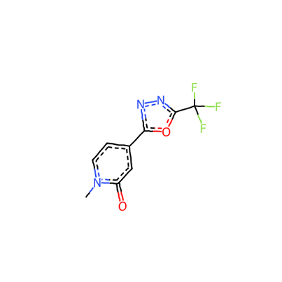 Cn1ccc(-c2nnc(C(F)(F)F)o2)cc1=O